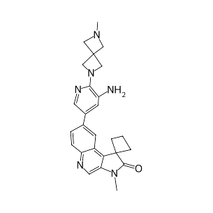 CN1CC2(C1)CN(c1ncc(-c3ccc4ncc5c(c4c3)C3(CCC3)C(=O)N5C)cc1N)C2